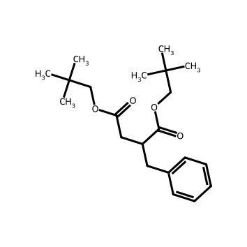 CC(C)(C)COC(=O)CC(Cc1ccccc1)C(=O)OCC(C)(C)C